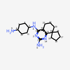 Nc1nc(NC2CCC(N)CC2)c2c(n1)C1(CCCC1)CCC2